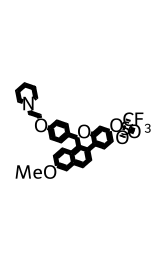 COc1ccc2c3c(ccc2c1)-c1ccc(OS(=O)(=O)C(F)(F)F)cc1OC3c1ccc(OCCN2CCCCC2)cc1